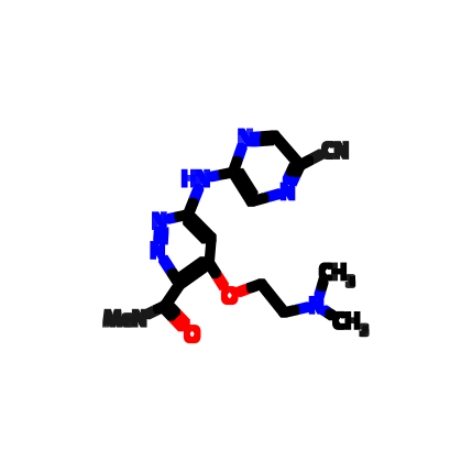 CNC(=O)c1nnc(Nc2cnc(C#N)cn2)cc1OCCN(C)C